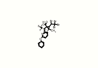 CC1(C)C(C(Br)C(Br)(Br)Br)C1(C(=O)O)[C@H](c1cccc(Oc2ccccc2)n1)C(F)(F)F